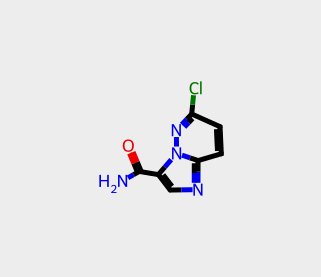 NC(=O)c1cnc2ccc(Cl)nn12